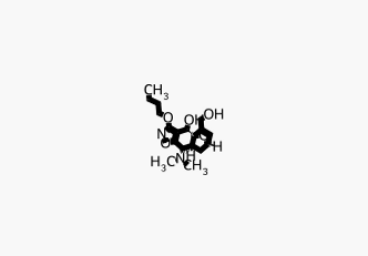 CCCCOc1noc2c1C(O)[C@@]13O[C@@H](C=C1CO)C[C@H]3[C@@H]2N(C)C